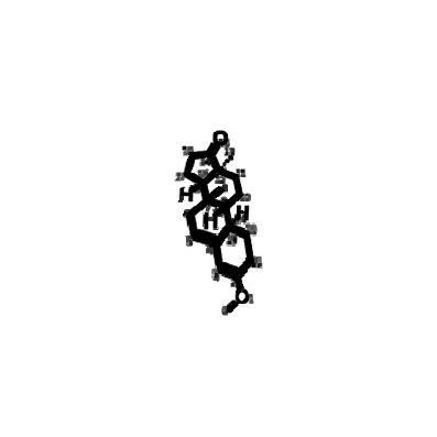 COC1=CC2=CCC3(C)[C@H](CC[C@]4(C)C(=O)CC[C@@H]34)[C@H]2CC1